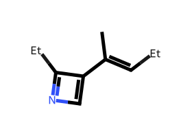 CC/C=C(\C)C1=CN=C1CC